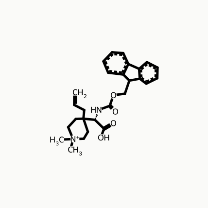 C=CCC1([C@H](NC(=O)OCC2c3ccccc3-c3ccccc32)C(=O)O)CC[N+](C)(C)CC1